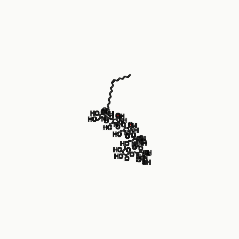 CCCCCC/C=C\CCCCCCCCCC(=O)NC12C(O)[C@H](O)C(CO)N1O[C@H]2O[C@@H]1C(CO)N2O[C@@H](O[C@@H]3C(CO)N4O[C@@H](O[C@@H]5C(CO)N6O[C@@H](O[C@@H]7C(CO[C@@H]8OC(C)[C@@H](O)C(O)C8OC)N8OC(O)[C@@]8(NC(C)=O)C7O)C6(NC(C)=O)C5O)C4(NC(C)=O)C3O)C2(NC(C)=O)C1O